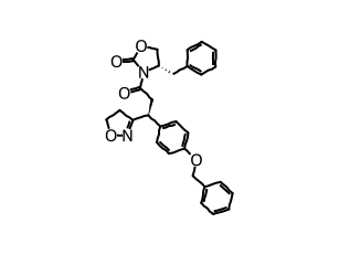 O=C(C[C@H](C1=NOCC1)c1ccc(OCc2ccccc2)cc1)N1C(=O)OC[C@@H]1Cc1ccccc1